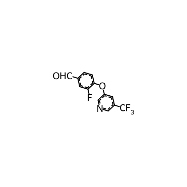 O=Cc1ccc(Oc2cncc(C(F)(F)F)c2)c(F)c1